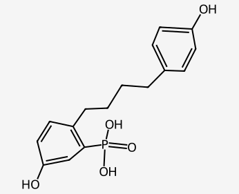 O=P(O)(O)c1cc(O)ccc1CCCCc1ccc(O)cc1